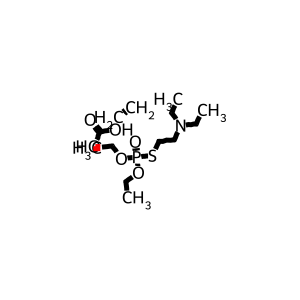 C=C.CCOP(=O)(OCC)SCCN(CC)CC.O=C(O)O